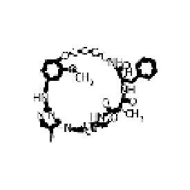 COc1cc2ccc1OCCCCNC(=O)[C@@H](Cc1ccccc1)NC(=O)[C@@]1(C)Oc3ccc(cc3NC1=O)Nc1nc(ncc1F)N2